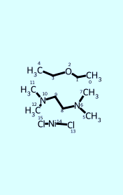 CCOCC.CN(C)CCN(C)C.[Cl][Ni][Cl]